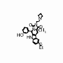 CCOc1ccc2[nH]c3c(c2c1)C[C@@]1(C)C(=O)N(CCN2CCC2)C(=O)N1[C@@H]3c1cccc(O)c1